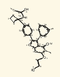 Cn1c(OCCO)nc2oc(-c3ccc(C4(NC(=O)O)CCC4)cc3)c(-c3ccccc3)c2c1=O